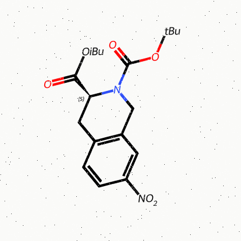 CC(C)COC(=O)[C@@H]1Cc2ccc([N+](=O)[O-])cc2CN1C(=O)OC(C)(C)C